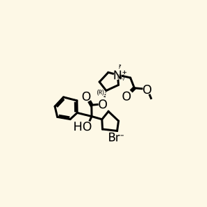 COC(=O)C[N@+]1(C)CC[C@@H](OC(=O)C(O)(c2ccccc2)C2CCCC2)C1.[Br-]